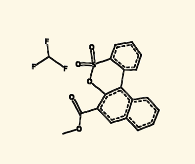 COC(=O)c1cc2ccccc2c2c1OS(=O)(=O)c1ccccc1-2.FC(F)F